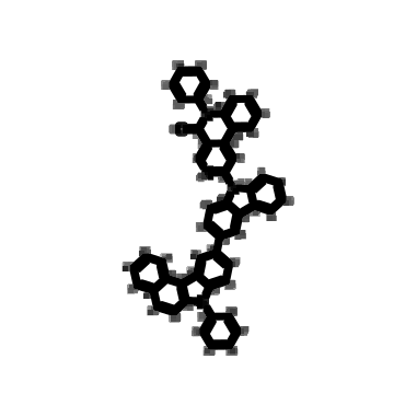 O=c1c2cnc(-n3c4ccccc4c4cc(-c5ccc6c(c5)c5c7ccccc7ccc5n6-c5ccccc5)ccc43)cc2c2ccccc2n1-c1ccccc1